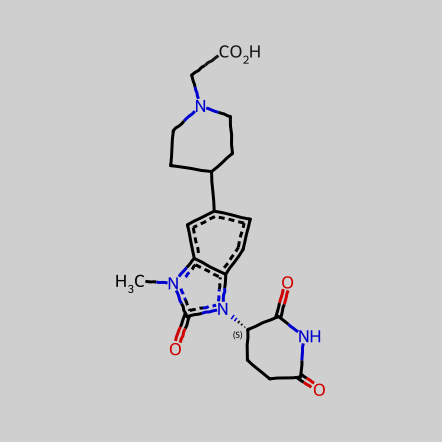 Cn1c(=O)n([C@H]2CCC(=O)NC2=O)c2ccc(C3CCN(CC(=O)O)CC3)cc21